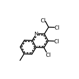 Cc1ccc2nc(C(Cl)Cl)c(Cl)c(Cl)c2c1